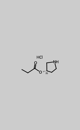 CCC(=O)O[C@H]1CCNC1.Cl